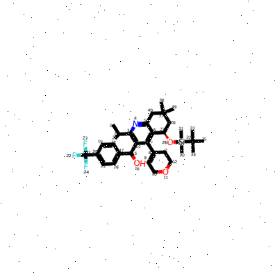 CC(C)c1nc2c(c(C3=CCOCC3)c1C(O)c1ccc(C(F)(F)F)cc1)[C@H](O[Si](C)(C)C(C)(C)C)CC(C)(C)C2